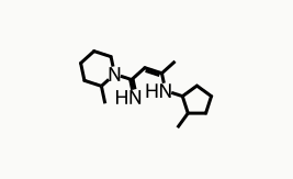 C/C(=C/C(=N)N1CCCCC1C)NC1CCCC1C